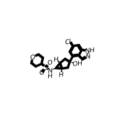 O=S(=O)(N[C@@H]1[C@@H]2C[C@@](O)(c3cc(Cl)cc4[nH]ncc34)C[C@@H]21)C1CCOCC1